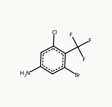 Nc1cc(Cl)c(C(F)(F)F)c(Br)c1